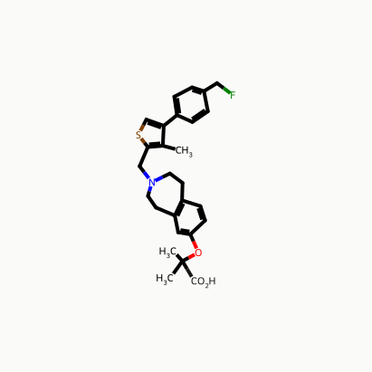 Cc1c(-c2ccc(CF)cc2)csc1CN1CCc2ccc(OC(C)(C)C(=O)O)cc2CC1